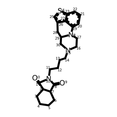 O=C1C2CCCCC2C(=O)N1CCCCN1CCN2c3cccc4scc(c34)CC2C1